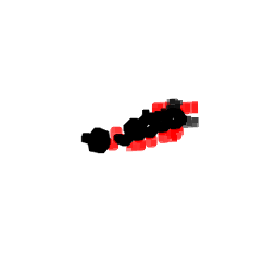 CC(=O)C1=C(O)C(C(C)C)[C@@]2(C)[C@H](O)[C@]3(C)C(=C(O)[C@@]2(O)C1=O)C(=O)c1c(ccc(CC(=O)Oc2ccc(C)cc2)c1O)[C@H]3C